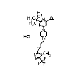 Cl.Cn1c(SCCCN2CCN(c3cc(C4CC4)nc(C(C)(C)C)n3)CC2)nnc1C(F)(F)F